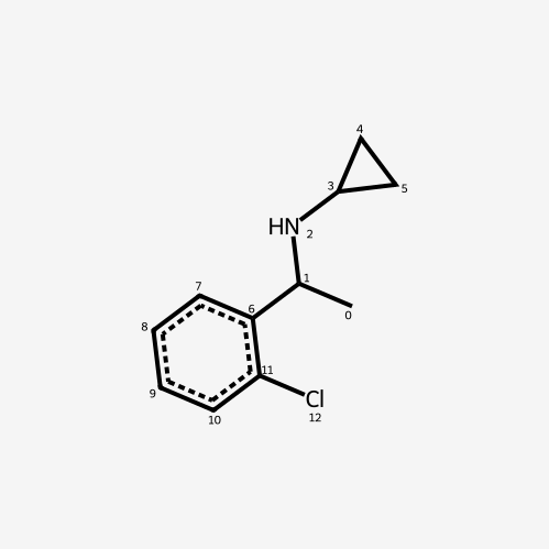 CC(NC1CC1)c1ccccc1Cl